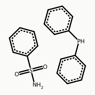 NS(=O)(=O)c1ccccc1.c1ccc(Pc2ccccc2)cc1